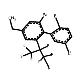 CCc1[c]c(Br)c(-c2cc(Cl)ccc2F)c(C(F)(C(F)(F)F)C(F)(F)F)c1